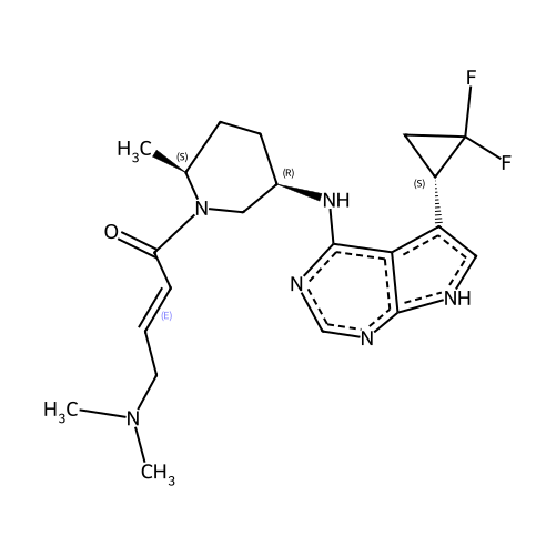 C[C@H]1CC[C@@H](Nc2ncnc3[nH]cc([C@@H]4CC4(F)F)c23)CN1C(=O)/C=C/CN(C)C